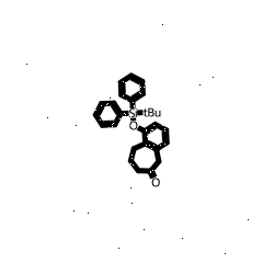 CC(C)(C)[Si](Oc1cccc2c1CCCC(=O)C2)(c1ccccc1)c1ccccc1